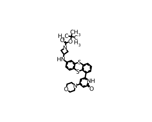 CC(C)(C)OC(=O)N1CC(Nc2ccc3c(c2)Sc2cccc(-c4cc(N5CCOCC5)cc(=O)[nH]4)c2S3)C1